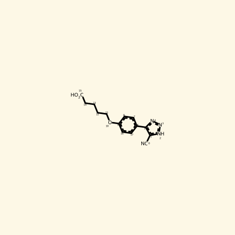 N#Cc1[nH]nnc1-c1ccc(OCCCCC(=O)O)cc1